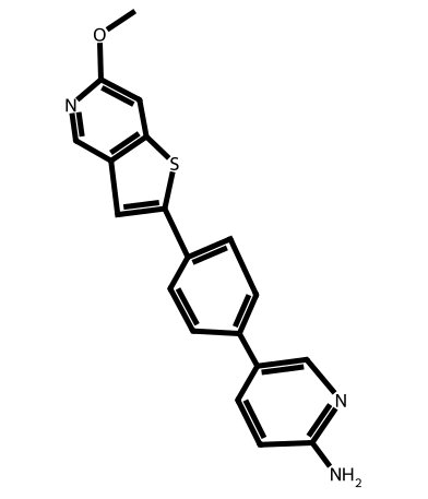 COc1cc2sc(-c3ccc(-c4ccc(N)nc4)cc3)cc2cn1